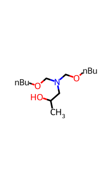 CCCCOCN(COCCCC)CC(C)O